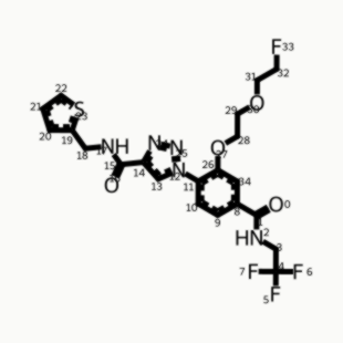 O=C(NCC(F)(F)F)c1ccc(-n2cc(C(=O)NCc3cccs3)nn2)c(OCCOCCF)c1